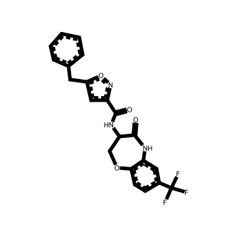 O=C(NC1COc2ccc(C(F)(F)F)cc2NC1=O)c1cc(Cc2ccccc2)on1